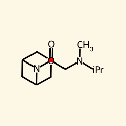 CC(C)N(C)CC(=O)N1C2COCC1C2